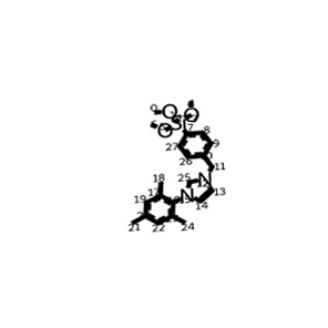 CO[Si](OC)(OC)c1ccc(CN2C=CN(c3c(C)cc(C)cc3C)C2)cc1